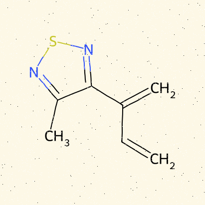 C=CC(=C)c1nsnc1C